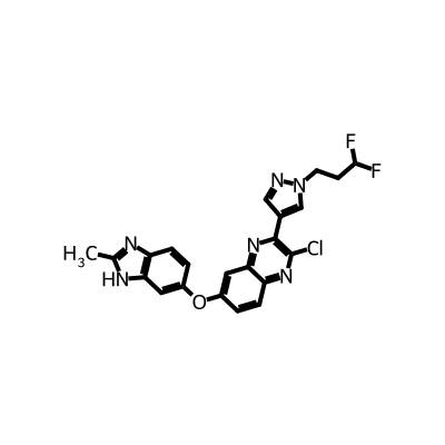 Cc1nc2ccc(Oc3ccc4nc(Cl)c(-c5cnn(CCC(F)F)c5)nc4c3)cc2[nH]1